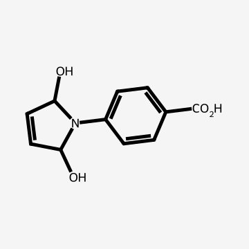 O=C(O)c1ccc(N2C(O)C=CC2O)cc1